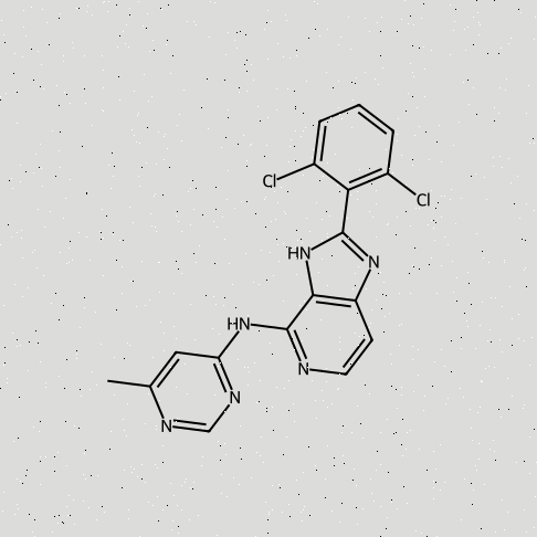 Cc1cc(Nc2nccc3nc(-c4c(Cl)cccc4Cl)[nH]c23)ncn1